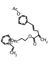 C=C(CC=Cc1ccccc1)C(=O)OCCCCCCCCCCCC.C=C[n+]1ccccc1.CC(=O)[O-]